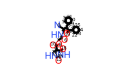 N#Cc1c(NC(=O)COC(=O)c2c[nH]c(=O)[nH]c2=O)oc(-c2ccccc2)c1-c1ccccc1